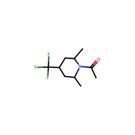 CC(=O)N1C(C)CC(C(F)(F)F)CC1C